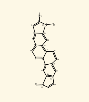 CCc1cc2cc3ccc4c5cc6c(ccn6C)cc5ccc4c3cc2n1C